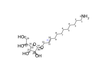 NCCCCCCCCC/C=C/CO[C@@H]1O[C@@H]([C@H](O)CO)C(O)[C@@H]1O